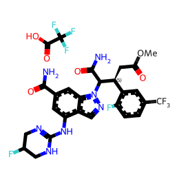 COC(=O)C[C@@H](c1cc(C(F)(F)F)ccc1F)C(C(N)=O)n1ncc2c(NC3=NCC(F)CN3)cc(C(N)=O)cc21.O=C(O)C(F)(F)F